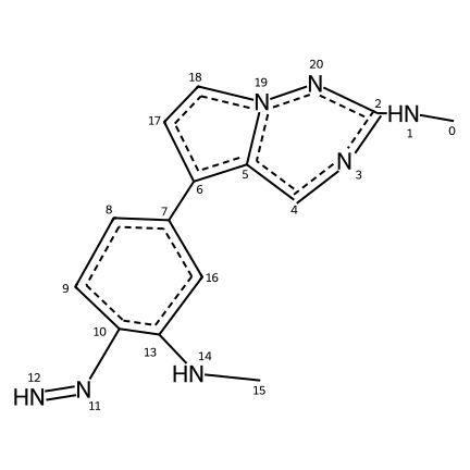 CNc1ncc2c(-c3ccc(N=N)c(NC)c3)ccn2n1